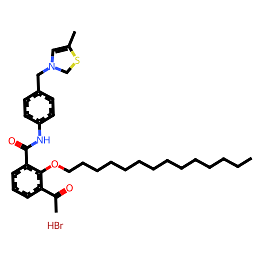 Br.CCCCCCCCCCCCCCOc1c(C(C)=O)cccc1C(=O)Nc1ccc(CN2C=C(C)SC2)cc1